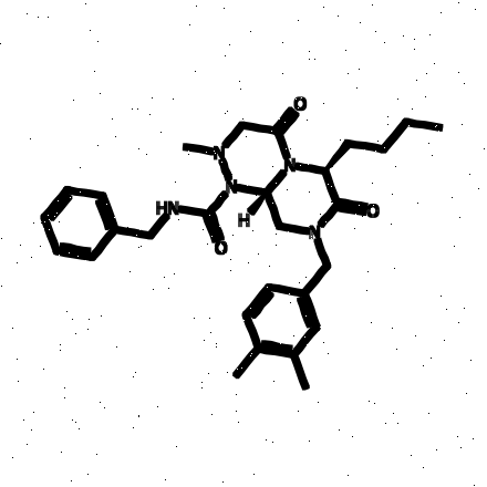 CCCC[C@H]1C(=O)N(Cc2ccc(C)c(C)c2)C[C@H]2N1C(=O)CN(C)N2C(=O)NCc1ccccc1